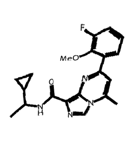 COc1c(F)cccc1-c1cc(C)n2cnc(C(=O)NC(C)C3CC3)c2n1